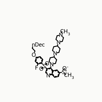 CCCCCCCCCCCCOc1ccc(S(=O)(=O)c2cnc3ccc([S+](C)[O-])cc3c2N2CCC(N3CCC(N4CCN(C)CC4)CC3)CC2)c(F)c1